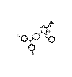 CC(C)(C)OC(=O)N[C@@H](Cc1ccccc1)C(=O)N1CCN(C(c2ccc(F)cc2)c2ccc(F)cc2)CC1